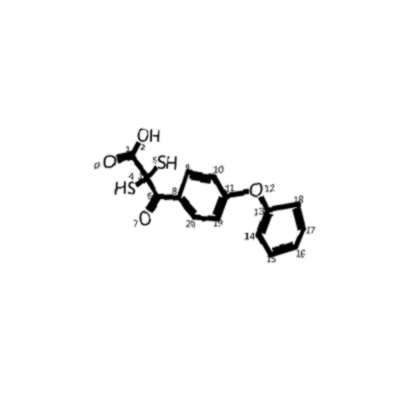 O=C(O)C(S)(S)C(=O)c1ccc(Oc2ccccc2)cc1